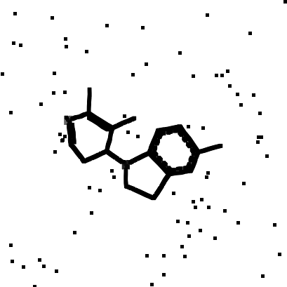 CC1=C(C)C(N2CCc3cc(C)ccc32)CC=N1